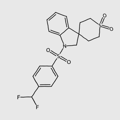 O=S1(=O)CCC2(CC1)CN(S(=O)(=O)c1ccc(C(F)F)cc1)c1ccccc12